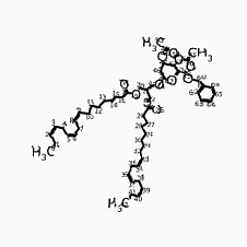 CC/C=C\C/C=C\C/C=C\CCCCCCCC(=O)OCC(COC(=O)CCCCCCC/C=C\C/C=C\C/C=C\CC)CO[C@H]1CC(OC(C)=O)[C@@H](OC(C)=O)[C@@H](COCc2ccccc2)O1